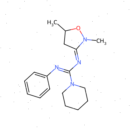 CC1C/C(=N\C(=N\c2ccccc2)N2CCCCC2)N(C)O1